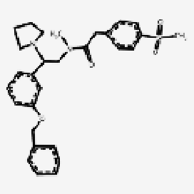 CN(CC(c1cccc(OCc2ccccc2)c1)N1CCCC1)C(=O)Cc1ccc(S(C)(=O)=O)cc1